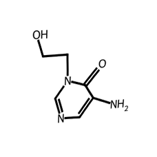 Nc1cncn(CCO)c1=O